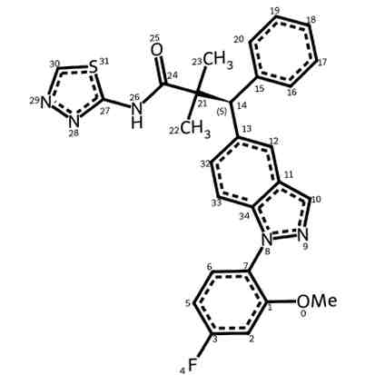 COc1cc(F)ccc1-n1ncc2cc([C@H](c3ccccc3)C(C)(C)C(=O)Nc3nncs3)ccc21